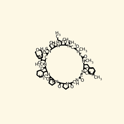 CCC1C(=O)NC([C@@H](C)CC)C(=O)N(C)CC(=O)N(C)CC(=O)N(C)C(Cc2ccc(C)cc2)C(=O)N(C)CC(=O)NCC(=O)N2CCCC2C(=O)NC2(CCCC2)C(=O)N(C)C(C2CCCCC2)C(=O)N(C)C(C(=O)N2C3CCC2COC3)CC(=O)N1C